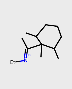 CC/N=C(\C)C1(C)C(C)CCCC1C